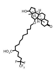 C[C@]12CCC(=O)CC1CC[C@@H]1[C@H]2C(OCCCCCCCCCC(CCCC(F)(F)C(F)(F)F)C(=O)O)C[C@]2(C)C(O)CC[C@@H]12